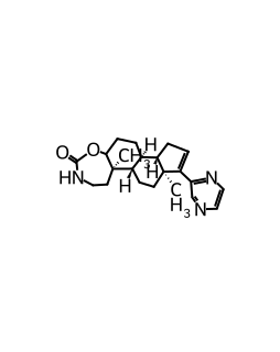 C[C@]12CCNC(=O)OC1CC[C@@H]1[C@@H]2CC[C@]2(C)C(c3cnccn3)=CC[C@@H]12